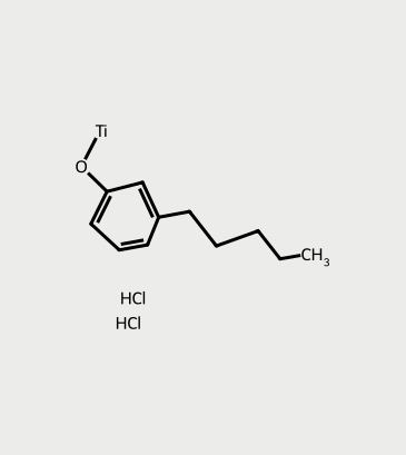 CCCCCc1cccc([O][Ti])c1.Cl.Cl